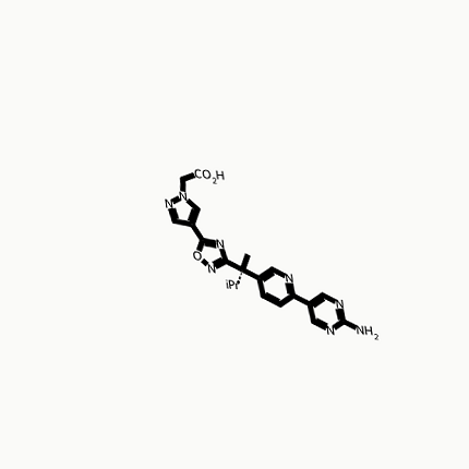 CC(C)[C@](C)(c1ccc(-c2cnc(N)nc2)nc1)c1noc(-c2cnn(CC(=O)O)c2)n1